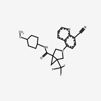 COC1CCC(NC(=O)C23CN(c4ccc(C#N)c5ncccc45)CC2(C(F)(F)F)C3)CC1